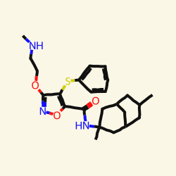 CNCCOc1noc(C(=O)NC2(C)CC3CC(C)CC(C3)C2)c1Sc1ccccc1